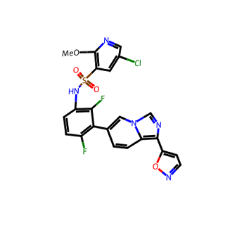 COc1ncc(Cl)cc1S(=O)(=O)Nc1ccc(F)c(-c2ccc3c(-c4ccno4)ncn3c2)c1F